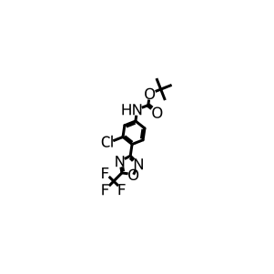 CC(C)(C)OC(=O)Nc1ccc(-c2noc(C(F)(F)F)n2)c(Cl)c1